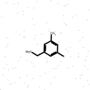 CSCc1cc(C)cc(I)c1